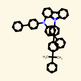 CC(C)(c1ccccc1)c1ccc(-c2ccc(-n3c4ccccc4c4cccc(N(c5ccc(-c6ccccc6)cc5)c5ccc(-c6ccccc6)cc5)c43)cc2)cc1